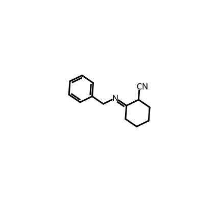 N#CC1CCCCC1=NCc1ccccc1